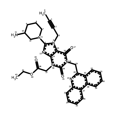 CC#CCn1c(N2CCCC(N)C2)nc2c1c(=O)n(Cc1nc3ccccc3c3ccccc13)c(=O)n2CC(=O)OCC